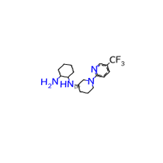 NC1CCCCC1N[C@H]1CCCN(c2ccc(C(F)(F)F)cn2)C1